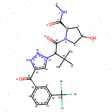 CNC(=O)[C@H]1CC(O)CN1C(=O)C(n1cc(C(=O)c2cccc(C(F)(F)F)c2)nn1)C(C)(C)C